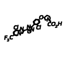 O=C(O)CN1CCC(Oc2ccc(-c3noc(-c4cn5cc(C(F)(F)F)cc(Cl)c5n4)n3)c(Cl)c2)C1